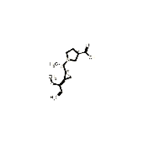 C=C/C(OC)=C1\C[C@H]1[C@H](C)N1CC[C@@H](C(=O)O)C1